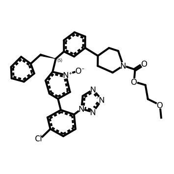 COCCOC(=O)N1CCC(c2cccc([C@H](Cc3ccccc3)c3ccc(-c4cc(Cl)ccc4-n4cnnn4)c[n+]3[O-])c2)CC1